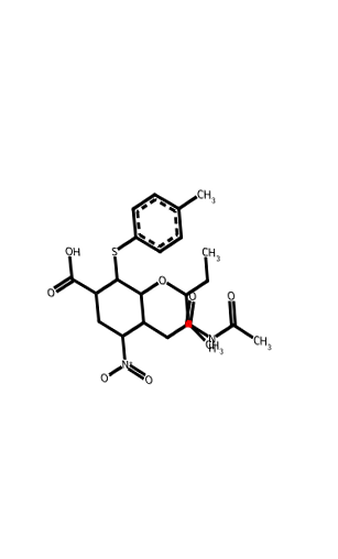 CCC(CC)OC1C(CC(=O)NC(C)=O)C([N+](=O)[O-])CC(C(=O)O)C1Sc1ccc(C)cc1